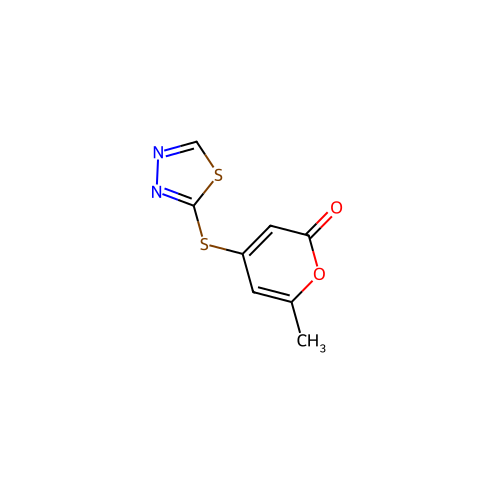 Cc1cc(Sc2nncs2)cc(=O)o1